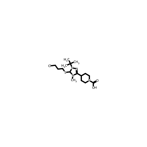 CN1C(C2CCN(C(=O)O)CC2)=NN(C(C)(C)C)C1SCCCCl